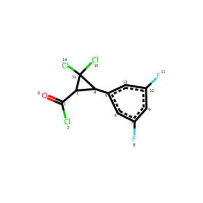 O=C(Cl)C1C(c2cc(F)cc(F)c2)C1(Cl)Cl